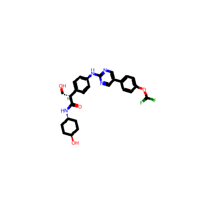 O=C(N[C@H]1CC[C@H](O)CC1)[C@H](CO)c1ccc(Nc2ncc(-c3ccc(OC(F)F)cc3)cn2)cc1